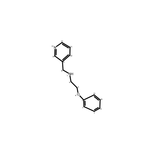 [c]1ccc(OCCNCc2cccnc2)cc1